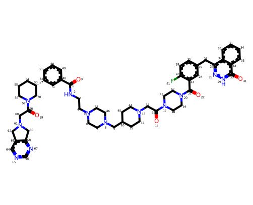 O=C(NCCN1CCN(CC2CCN(CC(=O)N3CCN(C(=O)c4cc(Cc5n[nH]c(=O)c6ccccc56)ccc4F)CC3)CC2)CC1)c1cccc([C@H]2CCCN(C(=O)CN3Cc4cncnc4C3)C2)c1